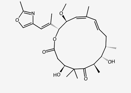 CO[C@H]1/C=C(C)\C=C\C[C@H](C)[C@H](O)[C@@H](C)C(=O)C(C)(C)[C@@H](O)CC(=O)O[C@@H]1/C(C)=C/c1coc(C)n1